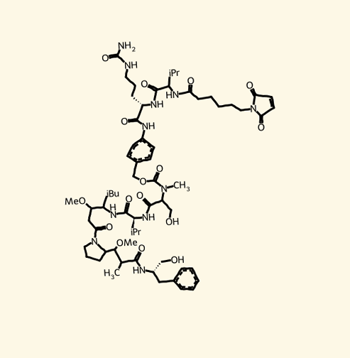 CCC(C)C(NC(=O)[C@@H](NC(=O)C(CO)N(C)C(=O)OCc1ccc(NC(=O)[C@H](CCCNC(N)=O)NC(=O)C(NC(=O)CCCCCN2C(=O)C=CC2=O)C(C)C)cc1)C(C)C)C(CC(=O)N1CCCC1C(OC)C(C)C(=O)N[C@H](CO)Cc1ccccc1)OC